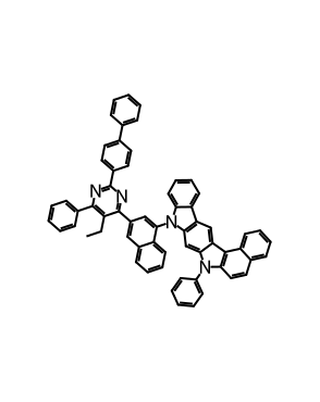 CCc1c(-c2ccccc2)nc(-c2ccc(-c3ccccc3)cc2)nc1-c1cc(-n2c3ccccc3c3cc4c5c6ccccc6ccc5n(-c5ccccc5)c4cc32)c2ccccc2c1